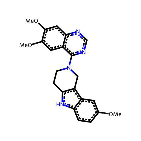 COc1ccc2[nH]c3c(c2c1)CN(c1ncnc2cc(OC)c(OC)cc12)CC3